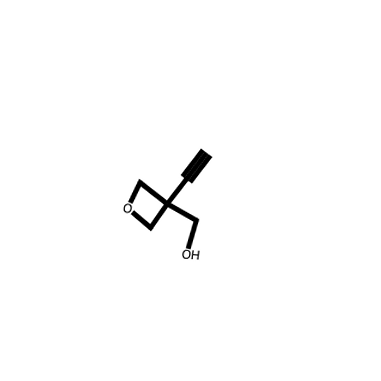 C#CC1(CO)COC1